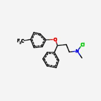 CN(Cl)CCC(Oc1ccc(C(F)(F)F)cc1)c1ccccc1